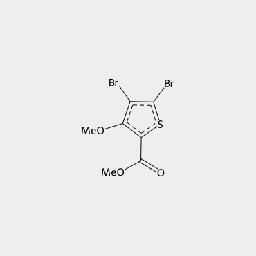 COC(=O)c1sc(Br)c(Br)c1OC